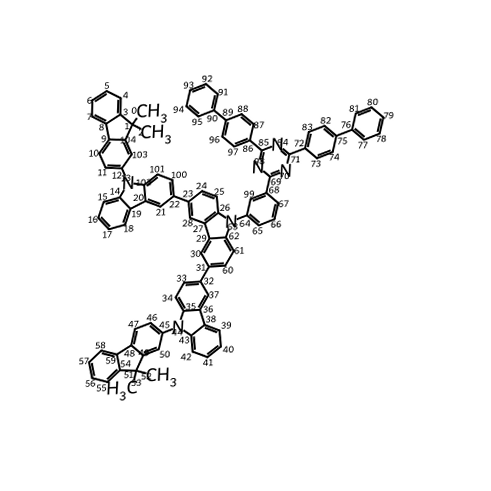 CC1(C)c2ccccc2-c2ccc(-n3c4ccccc4c4cc(-c5ccc6c(c5)c5cc(-c7ccc8c(c7)c7ccccc7n8-c7ccc8c(c7)C(C)(C)c7ccccc7-8)ccc5n6-c5cccc(-c6nc(-c7ccc(-c8ccccc8)cc7)nc(-c7ccc(-c8ccccc8)cc7)n6)c5)ccc43)cc21